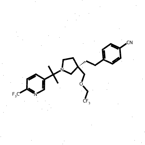 CC(C)(c1ccc(C(F)(F)F)nc1)N1CC[C@@](CCc2ccc(C#N)cc2)(COCC(F)(F)F)C1